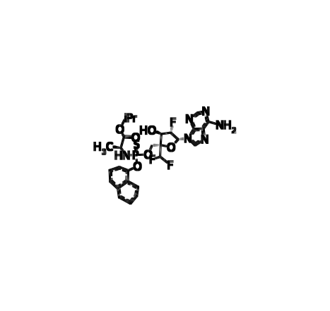 CC(C)OC(=O)[C@H](C)NP(=S)(OC[C@@]1(C(F)F)O[C@@H](n2cnc3c(N)ncnc32)[C@@H](F)[C@@H]1O)Oc1cccc2ccccc12